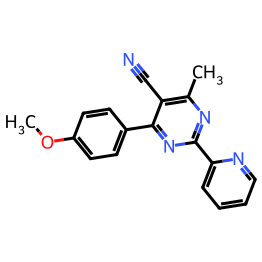 COc1ccc(-c2nc(-c3ccccn3)nc(C)c2C#N)cc1